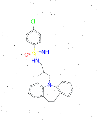 CC(CNS(=N)(=O)c1ccc(Cl)cc1)CN1c2ccccc2CCc2ccccc21